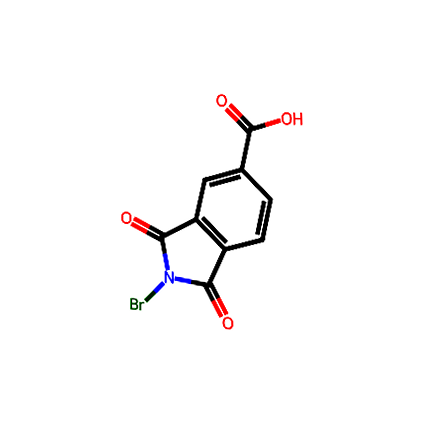 O=C(O)c1ccc2c(c1)C(=O)N(Br)C2=O